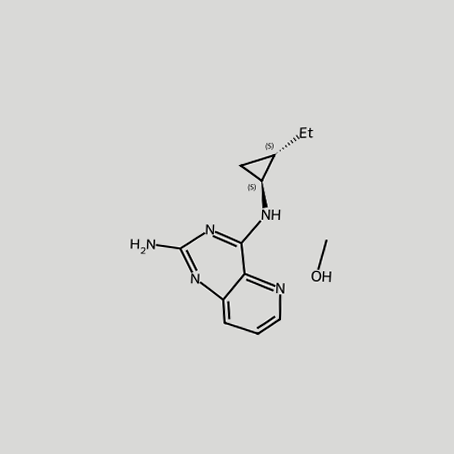 CC[C@H]1C[C@@H]1Nc1nc(N)nc2cccnc12.CO